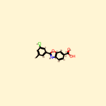 Cc1cc(Cl)cc(-c2nc3ccc(C(=O)O)cc3o2)c1